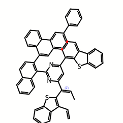 C=Cc1c(/C(=C\C)c2cc(-c3cccc4c3sc3ccccc34)nc(-c3c(-c4cc5ccc(-c6ccccc6)cc5c5ccccc45)ccc4ccccc34)n2)sc2ccccc12